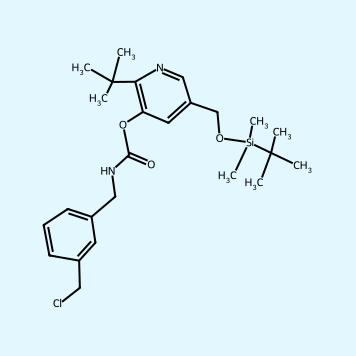 CC(C)(C)c1ncc(CO[Si](C)(C)C(C)(C)C)cc1OC(=O)NCc1cccc(CCl)c1